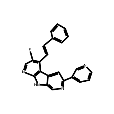 Fc1cnc2[nH]c3cnc(-c4cccnc4)cc3c2c1C=Cc1ccccc1